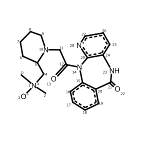 C[N+](C)([O-])CC1CCCCN1CC(=O)N1c2ccccc2C(=O)Nc2cccnc21